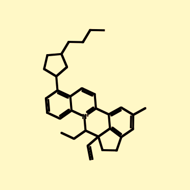 C=CC12CCc3cc(C)cc(c31)-c1ccc3c(C4CCC(CCCC)C4)cccc3[n+]1C2CC